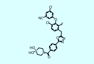 N#Cc1cc(Cl)cc(Oc2c(Cl)ccc(Cc3nnc(-c4ccc(C(=O)N5CCS(O)(O)CC5)cc4)o3)c2F)c1